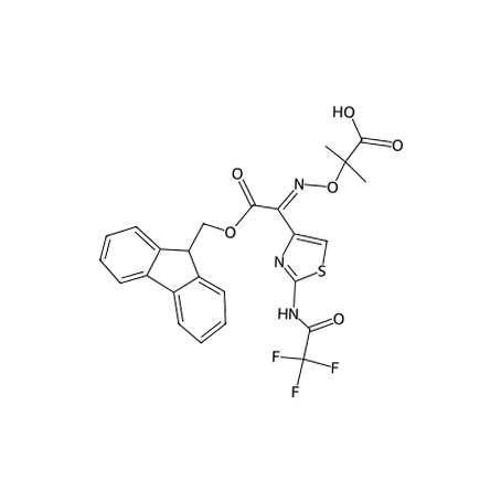 CC(C)(O/N=C(/C(=O)OCC1c2ccccc2-c2ccccc21)c1csc(NC(=O)C(F)(F)F)n1)C(=O)O